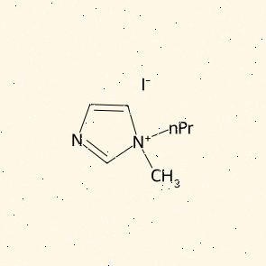 CCC[N+]1(C)C=CN=C1.[I-]